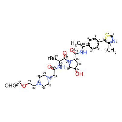 Cc1ncsc1-c1ccc([C@H](C)NC(=O)[C@@H]2C[C@@H](O)CN2C(=O)C(NC(=O)CN2CCN(CCOCC=O)CC2)C(C)(C)C)cc1